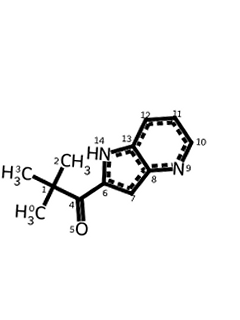 CC(C)(C)C(=O)c1cc2ncccc2[nH]1